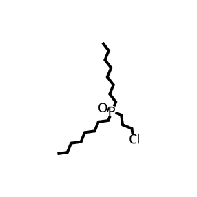 CCCCCCCCP(=O)(CCCCl)CCCCCCCC